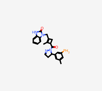 CC1=C(Cn2c(=O)[nH]c3ccccc32)CC1C(=O)N1N=CCC1c1cc(C)cc(P)c1